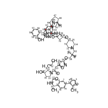 Cc1ncsc1-c1ccc([C@H](C)NC(=O)[C@@H]2C[C@@H](O)CN2C(=O)[C@@H](c2cc(OCC(F)(F)CN3CCC(OC4CC(Oc5cc(N6C7CC[C@@H]6CN(c6cc(-c8ccccc8O)nnc6N)C7)ccn5)C4)CC3)no2)C(C)C)cc1